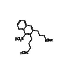 CCCCCCCCCCCCCc1cc2ccccc2c(S(=O)(=O)O)c1CCCCCCCCCCCCC